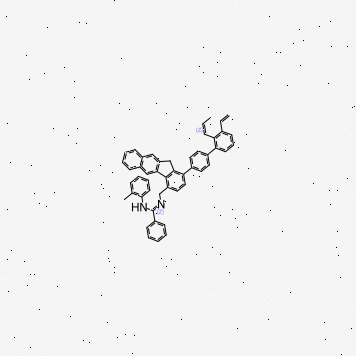 C=Cc1cccc(-c2ccc(-c3ccc(C/N=C(\Nc4ccccc4C)c4ccccc4)c4c3Cc3cc5ccccc5cc3-4)cc2)c1/C=C\C